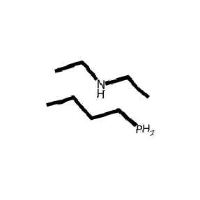 CCCCP.CCNCC